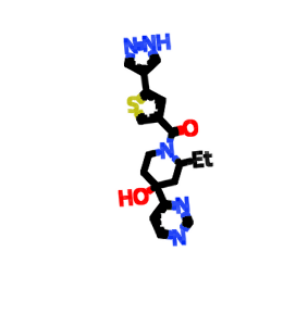 CCC1CC(O)(c2ccncn2)CCN1C(=O)c1csc(-c2cn[nH]c2)c1